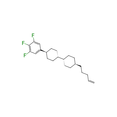 C=CCCC[C@H]1CC[C@H]([C@H]2CC[C@H](c3cc(F)c(F)c(F)c3)CC2)CC1